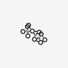 c1ccc(-c2ccccc2-n2c3ccccc3c3cccc(-n4c5ccccc5c5cc(-c6ccccc6)c([Si](c6ccccc6)(c6ccccc6)c6ccccc6)cc54)c32)cc1